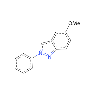 COc1ccc2nn(-c3ccccc3)cc2c1